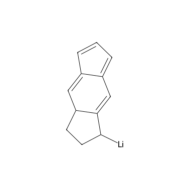 [Li][CH]1CCC2C=C3C=CC=C3C=C12